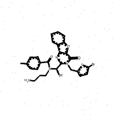 Cc1ccc(C(=O)N(CCCN)C(c2nc3c(oc4ccccc43)c(=O)n2Cc2ccc(Br)s2)C(C)C)cc1